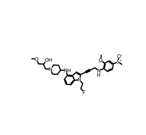 COCC(O)CN1CCC(Nc2cccc3c2cc(C#CCNc2ccc([S+](C)[O-])cc2OC)n3CCF)CC1